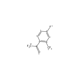 O=C(c1ccc(F)cc1C(F)(F)F)C(F)(F)F